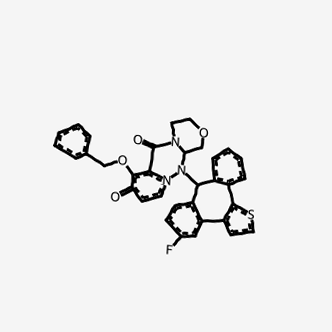 O=C1c2c(OCc3ccccc3)c(=O)ccn2N(C2c3ccc(F)cc3-c3ccsc3-c3ccccc32)C2COCCN12